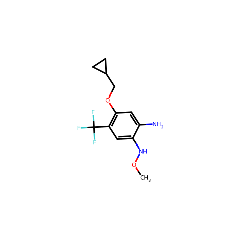 CONc1cc(C(F)(F)F)c(OCC2CC2)cc1N